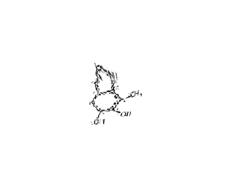 Cc1c(O)c(O)cc2cc[nH]c12